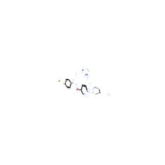 O=C(Nc1ccc(OC(F)(F)Cl)cc1)c1cnc(N2CC[C@@H](O)C2)c(Nc2ncns2)c1